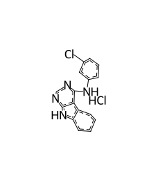 Cl.Clc1cccc(Nc2ncnc3[nH]c4ccccc4c23)c1